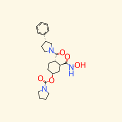 O=C(NO)[C@H]1C[C@@H](OC(=O)N2CCCC2)CC[C@@H]1C(=O)N1CC[C@H](c2ccccc2)C1